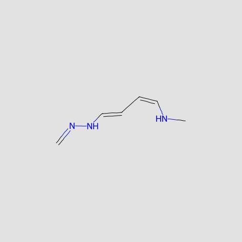 C=NN/C=C/C=C\NC